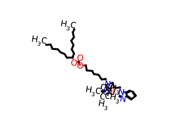 CCCCCCCCC(CCCCCCCC)OC(=O)OCCCCCCCNCC(Cn1cnc2ccccc21)O[Si](C)(C)C(C)(C)C